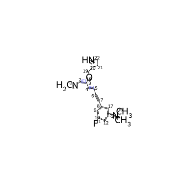 C=N/C=C(\C=C\C#Cc1cc(F)cc(N(C)C)c1)OCC1CCN1